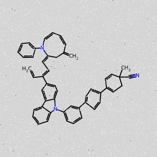 C=C/C(=C\C=C1/CC(=C)/C=C\C=C/N1c1ccccc1)c1ccc2c(c1)c1ccccc1n2-c1cccc(-c2ccc(C3=CCC(C)(C#N)C=C3)cc2)c1